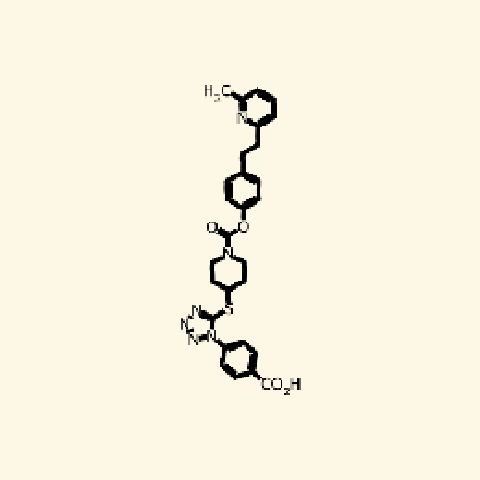 Cc1cccc(CCc2ccc(OC(=O)N3CCC(Sc4nnnn4-c4ccc(C(=O)O)cc4)CC3)cc2)n1